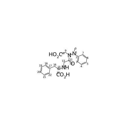 CN(c1ccccc1)N(CC(=O)O)C(=O)CN[C@@H](Cc1ccccc1)C(=O)O